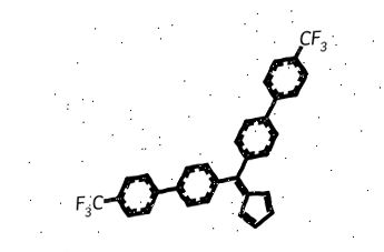 FC(F)(F)c1ccc(-c2ccc(C(=C3C=CC=C3)c3ccc(-c4ccc(C(F)(F)F)cc4)cc3)cc2)cc1